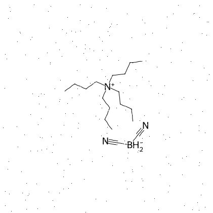 CCCC[N+](CCCC)(CCCC)CCCC.N#C[BH2-]C#N